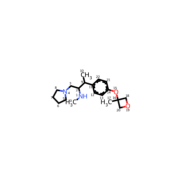 CNC(CN1CCCC1)C(C)c1ccc(OC2(C)COC2)cc1